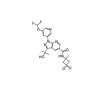 CC1(NC(=O)c2cnc3c(c2)c(C(C)(C)O)nn3-c2cncc(OC(F)F)c2)CS(=O)(=O)C1